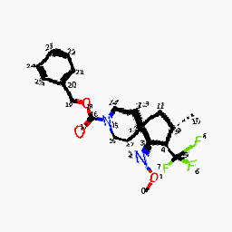 CON=C1[C@H](C(F)(F)F)[C@@H](C)CC12CCN(C(=O)OCc1ccccc1)CC2